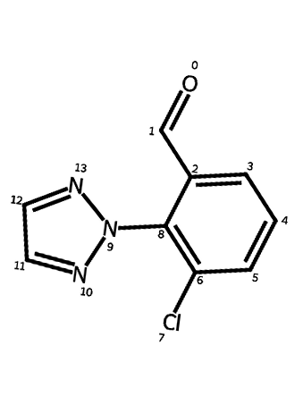 O=Cc1cccc(Cl)c1-n1nccn1